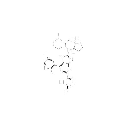 Cc1ncc(Cl)cc1-c1nc(-c2noc(=O)[nH]2)nc2nc(N3CCO[C@@H]4CCC[C@H]43)n(C[C@H]3CC[C@H](C)CC3)c12